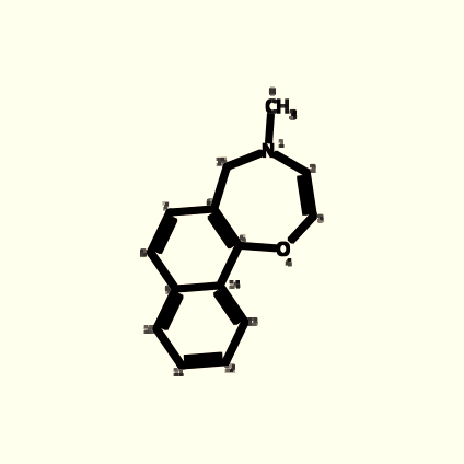 CN1C=COc2c(ccc3ccccc23)C1